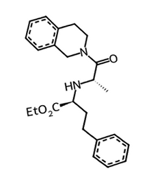 CCOC(=O)[C@H](CCc1ccccc1)N[C@@H](C)C(=O)N1CCc2ccccc2C1